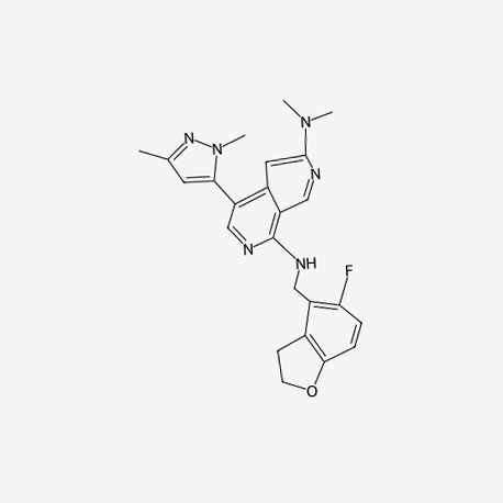 Cc1cc(-c2cnc(NCc3c(F)ccc4c3CCO4)c3cnc(N(C)C)cc23)n(C)n1